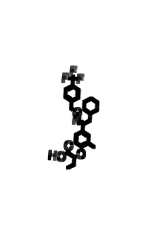 CCC(Oc1ccc(C(CC2CCCCC2)=NOCc2ccc(C(F)(F)F)cc2)cc1C)C(=O)O